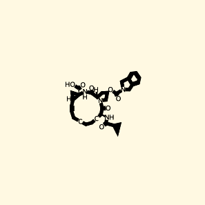 O=C(N[C@H]1CCCCC/C=C\[C@@H]2C[C@@]2(C(=O)O)NC(=O)[C@@H]2C[C@@H](OC(=O)N3Cc4ccccc4C3)CN2C1=O)C1CC1